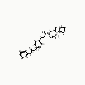 CN(Cc1cc2ccccc2n1C)C(=O)C=Cc1ccc(NC(=O)Cc2ccncc2)nc1